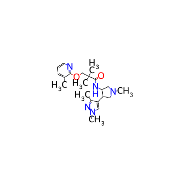 Cc1cccnc1OCC(C)(C)C(=O)NC1CN(C)CC1c1cn(C)nc1C